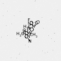 Cc1nc(F)ccc1N(CC1CCOC1)[C@H]1CC[C@H](N(C)c2c(C#N)c(=O)n(C)c3ccc(C#N)nc23)CC1